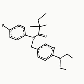 CCN(CC)c1ccc(CN(C(=O)C(C)(C)CC)c2ccc(F)cc2)cn1